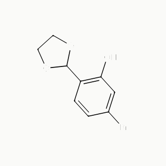 Oc1cc(Br)ccc1C1OCCO1